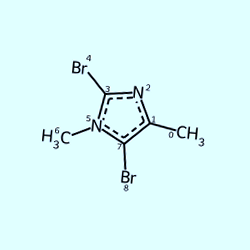 Cc1nc(Br)n(C)c1Br